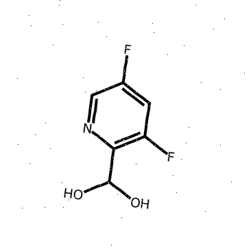 OC(O)c1ncc(F)cc1F